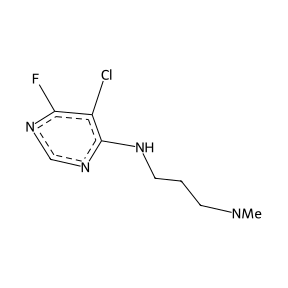 CNCCCNc1ncnc(F)c1Cl